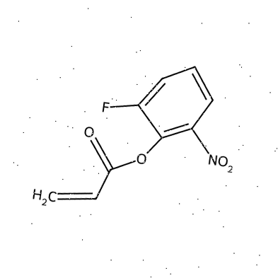 C=CC(=O)Oc1c(F)cccc1[N+](=O)[O-]